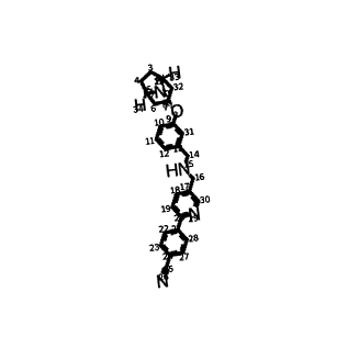 CN1[C@@H]2CC[C@H]1C[C@@H](Oc1cccc(CNCc3ccc(-c4ccc(C#N)cc4)nc3)c1)C2